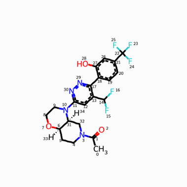 CC(=O)N1CC[C@H]2OCCN(c3cc(C(F)F)c(-c4ccc(C(F)(F)F)cc4O)nn3)[C@H]2C1